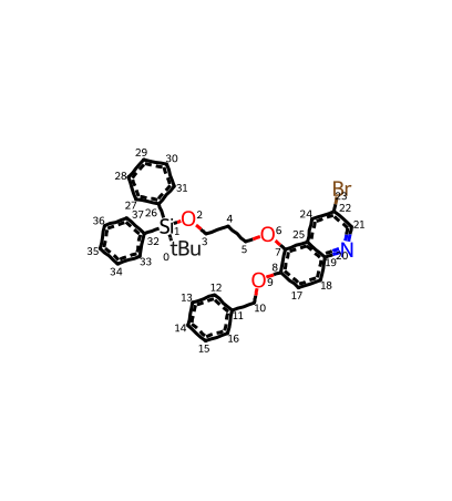 CC(C)(C)[Si](OCCCOc1c(OCc2ccccc2)ccc2ncc(Br)cc12)(c1ccccc1)c1ccccc1